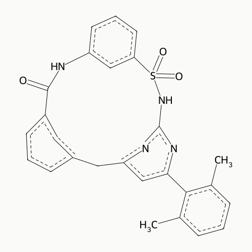 Cc1cccc(C)c1-c1cc2nc(n1)NS(=O)(=O)c1cccc(c1)NC(=O)c1cccc(c1)C2